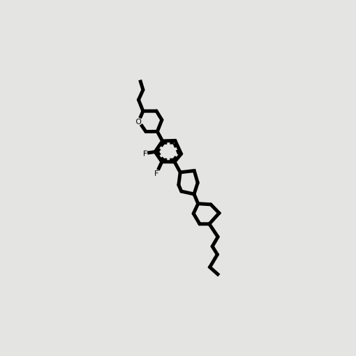 CCCCCC1CCC(C2CCC(c3ccc(C4CCC(CCC)OC4)c(F)c3F)CC2)CC1